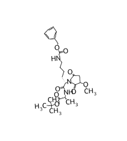 COC1CC(=O)N([C@@H](CCCCNC(=O)OCc2ccccc2)C(=O)N[C@@H](C)C(=O)OC(C)(C)C)C1=O